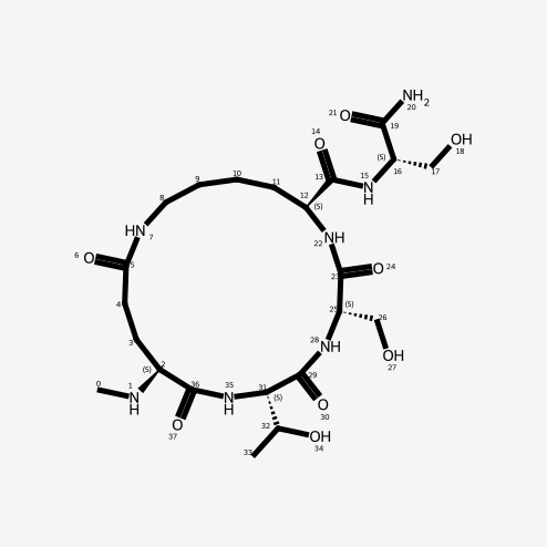 CN[C@H]1CCC(=O)NCCCC[C@@H](C(=O)N[C@@H](CO)C(N)=O)NC(=O)[C@H](CO)NC(=O)[C@H](C(C)O)NC1=O